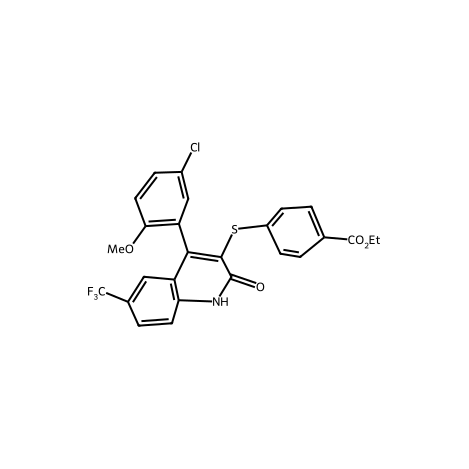 CCOC(=O)c1ccc(Sc2c(-c3cc(Cl)ccc3OC)c3cc(C(F)(F)F)ccc3[nH]c2=O)cc1